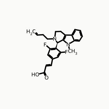 C=CCCN1CCc2c(n(C)c3ccccc23)[C@H]1c1c(F)cc(/C=C/C(=O)O)cc1F